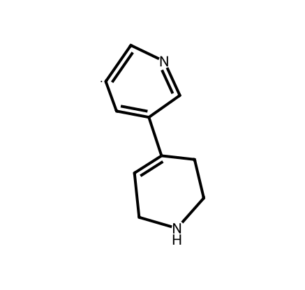 [c]1cncc(C2=CCNCC2)c1